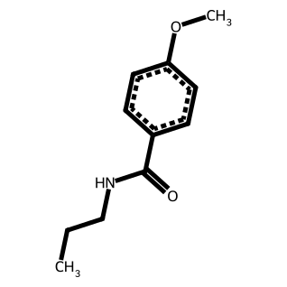 CCCNC(=O)c1ccc(OC)cc1